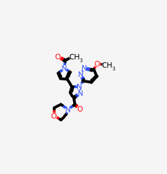 COc1ccc(-n2nc(C(=O)N3CCOCC3)cc2-c2ccn(C(C)=O)c2)nn1